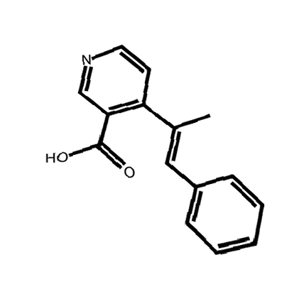 C/C(=C\c1ccccc1)c1ccncc1C(=O)O